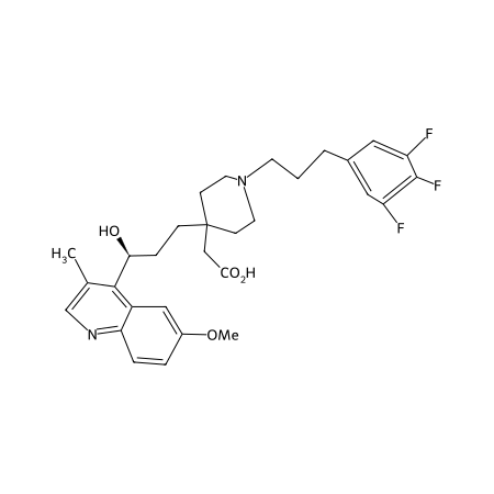 COc1ccc2ncc(C)c([C@@H](O)CCC3(CC(=O)O)CCN(CCCc4cc(F)c(F)c(F)c4)CC3)c2c1